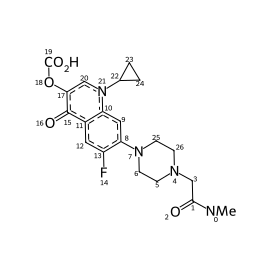 CNC(=O)CN1CCN(c2cc3c(cc2F)c(=O)c(OC(=O)O)cn3C2CC2)CC1